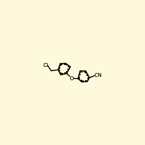 N#Cc1ccc(Oc2cccc(CCl)c2)cc1